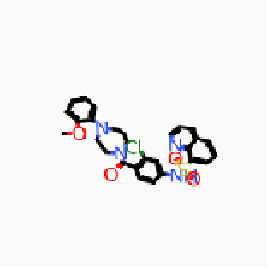 COc1ccccc1N1CCCN(C(=O)c2ccc(NS(=O)(=O)c3cccc4cccnc34)cc2Cl)CC1